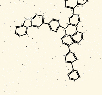 c1ccc(-c2ccc(-c3ccc(N(c4ccc(-c5ccc6oc7ccccc7c6c5)cc4)c4cc(-c5cccc6ccccc56)ccc4-c4ccccc4)cc3)cc2)cc1